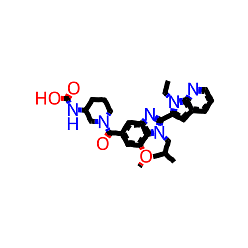 CCn1c(-c2nc3cc(C(=O)N4CCCC(NC(=O)O)C4)cc(OC)c3n2CC(C)C)cc2cccnc21